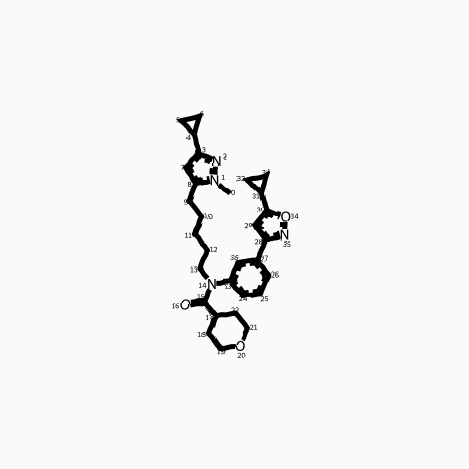 Cn1nc(C2CC2)cc1CCCCCN(C(=O)C1CCOCC1)c1cccc(-c2cc(C3CC3)on2)c1